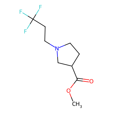 COC(=O)C1CCN(CCC(F)(F)F)C1